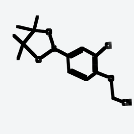 CC1(C)OB(c2ccc(OCC#N)c(Cl)c2)OC1(C)C